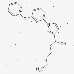 CCCCCC(O)c1ccn(-c2cccc(Oc3ccccc3)c2)c1